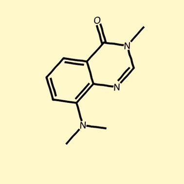 CN(C)c1cccc2c(=O)n(C)cnc12